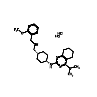 CN(C)c1nc(N[C@H]2CC[C@@H](CNCc3ccccc3OC(F)(F)F)CC2)nc2c1CCCC2.Cl.Cl